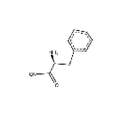 N[C@@H](Cc1ccccc1)C(=O)N=O